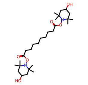 CC1(C)CC(O)CC(C)(C)N1OC(=O)CCCCCCCCC(=O)ON1C(C)(C)CC(O)CC1(C)C